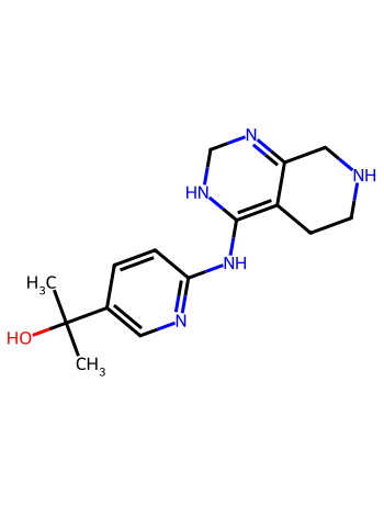 CC(C)(O)c1ccc(NC2=C3CCNCC3=NCN2)nc1